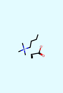 C=CC(=O)[O-].CCCC[N+](C)(C)C